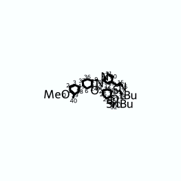 COc1ccc([C@H]2CC[C@H](CN(c3cc(-c4cnc(C(C)(C)C)s4)ccn3)C(=O)[C@H]3CC[C@H](O[Si](C)(C)C(C)(C)C)CC3)CC2)cc1C